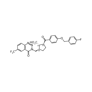 O=C(O)[C@H]1[C@H](Cn2nnc3ccc(C(F)(F)F)cc3c2=O)CC[C@@H]1C(=O)c1ccc(OCc2ccc(F)cc2)cc1